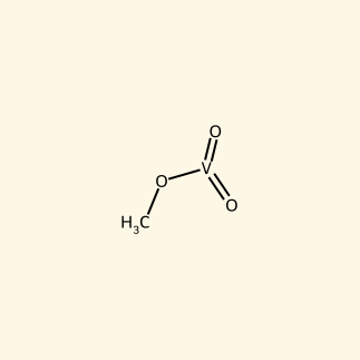 C[O][V](=[O])=[O]